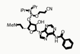 CNCC[C@H]1O[C@@H](n2cnc3c(NC(=O)c4ccccc4)ncnc32)[C@@H](O)C1OP(OCCC#N)N(C(C)C)C(C)C